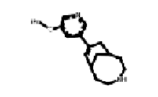 CC(C)Oc1cncc(C2=CC3CCNCCC(C2)C3)c1